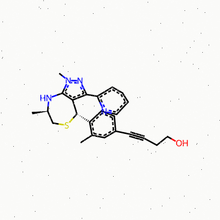 Cc1cc(C#CCCO)ccc1[C@@H]1SC[C@@H](C)Nc2c1c(-c1ccccn1)nn2C